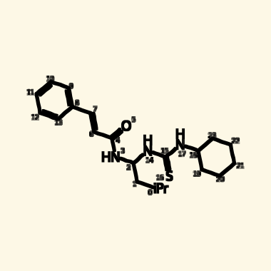 CC(C)CC(NC(=O)/C=C/c1ccccc1)NC(=S)NC1CCCCC1